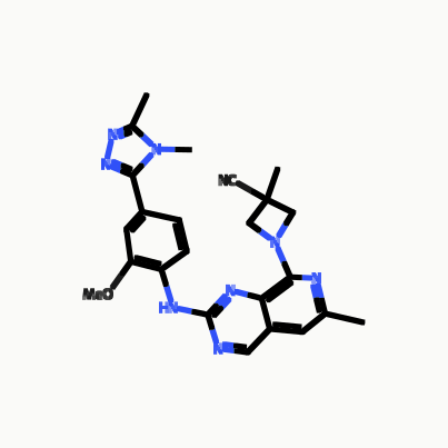 COc1cc(-c2nnc(C)n2C)ccc1Nc1ncc2cc(C)nc(N3CC(C)(C#N)C3)c2n1